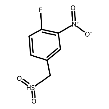 O=[N+]([O-])c1cc(C[SH](=O)=O)ccc1F